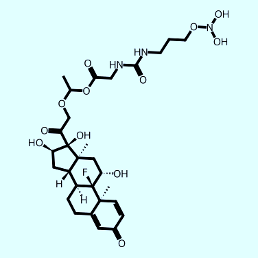 CC(OCC(=O)[C@@]1(O)[C@H](O)C[C@H]2[C@@H]3CCC4=CC(=O)C=C[C@]4(C)[C@@]3(F)[C@@H](O)C[C@@]21C)OC(=O)CNC(=O)NCCCON(O)O